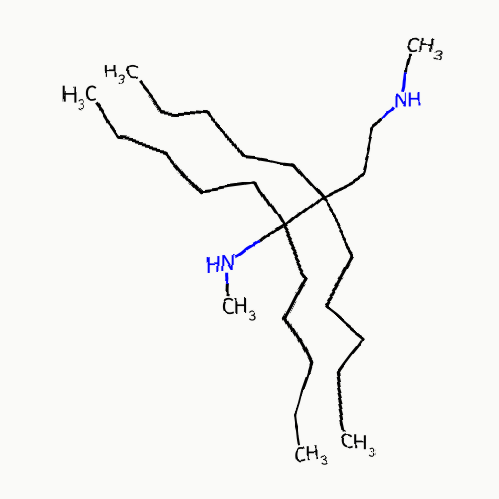 CCCCCC(CCCCC)(CCNC)C(CCCCC)(CCCCC)NC